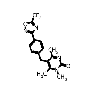 Cc1nc(=O)n(C)c(C)c1Cc1ccc(-c2noc(C(F)(F)F)n2)cc1